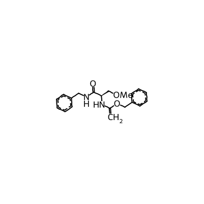 C=C(N[C@H](COC)C(=O)NCc1ccccc1)OCc1ccccc1